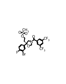 CS(=O)(=O)OCC[C@@]1(c2ccc(F)c(Br)c2)CN(C(=O)c2cc(C(F)(F)F)cc(C(F)(F)F)c2)CO1